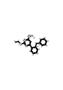 CCSc1nc(N)cc(-c2ccccc2Cc2ccccc2)n1